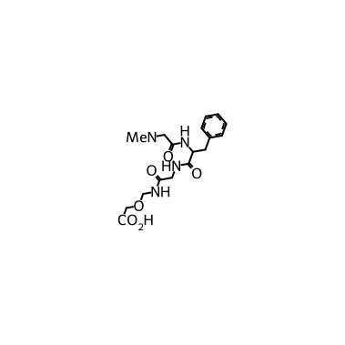 CNCC(=O)NC(Cc1ccccc1)C(=O)NCC(=O)NCOCC(=O)O